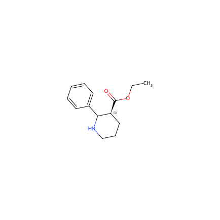 CCOC(=O)[C@H]1CCCNC1c1ccccc1